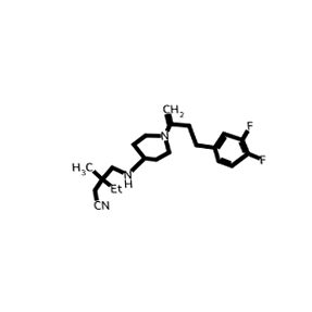 C=C(CCc1ccc(F)c(F)c1)N1CCC(NCC(C)(CC)CC#N)CC1